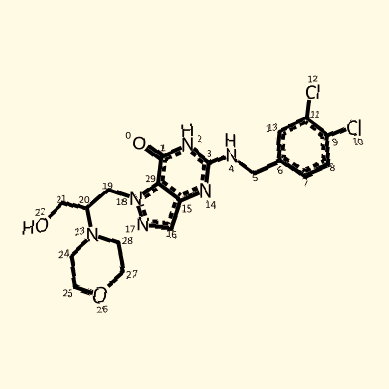 O=c1[nH]c(NCc2ccc(Cl)c(Cl)c2)nc2cnn(CC(CO)N3CCOCC3)c12